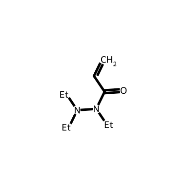 C=CC(=O)N(CC)N(CC)CC